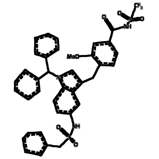 COc1cc(C(=O)NS(=O)(=O)C(F)(F)F)ccc1Cc1cn(C(c2ccccc2)c2ccccc2)c2ccc(NS(=O)(=O)Cc3ccccc3)cc12